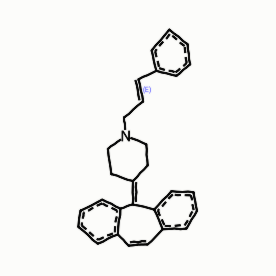 C1=Cc2ccccc2C(=C2CCN(C/C=C/c3ccccc3)CC2)c2ccccc21